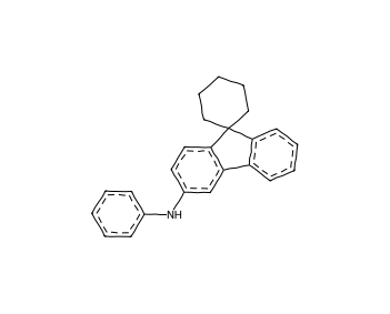 c1ccc(Nc2ccc3c(c2)-c2ccccc2C32CCCCC2)cc1